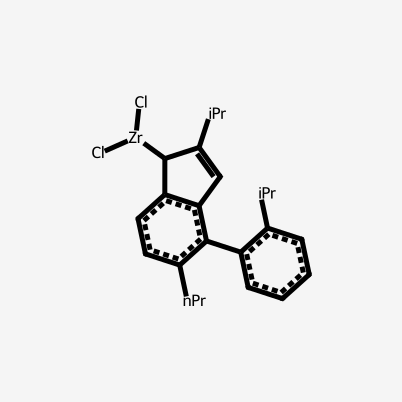 CCCc1ccc2c(c1-c1ccccc1C(C)C)C=C(C(C)C)[CH]2[Zr]([Cl])[Cl]